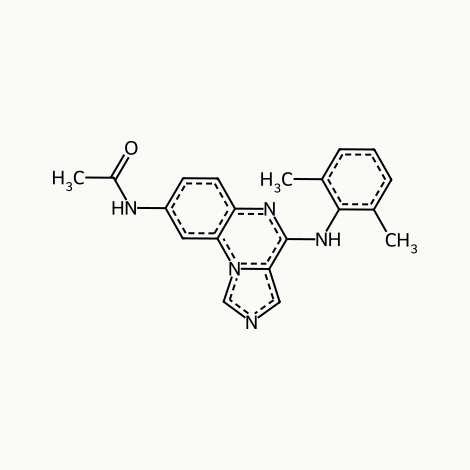 CC(=O)Nc1ccc2nc(Nc3c(C)cccc3C)c3cncn3c2c1